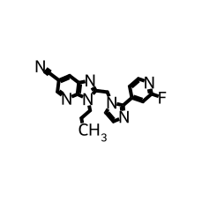 CCCn1c(Cn2ccnc2-c2ccnc(F)c2)nc2cc(C#N)cnc21